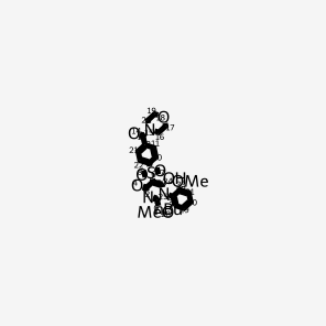 CCCCc1nc(=O)c(S(=O)(=O)c2ccc(C(=O)N3CCOCC3)cc2)c(O)n1-c1c(OC)cccc1OC